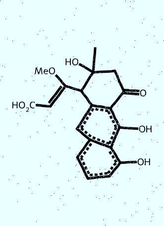 COC(=CC(=O)O)C1c2cc3cccc(O)c3c(O)c2C(=O)CC1(C)O